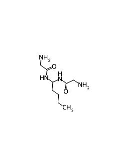 CCCCC(NC(=O)CN)NC(=O)CN